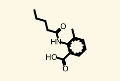 CCCCC(=O)Nc1c(C)cccc1C(=O)O